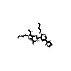 CCCCOc1ncc(-c2ccco2)cc1-c1nc2c(CC)n(CCOC)nc2c(=O)[nH]1